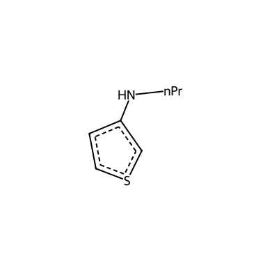 CCCNc1ccsc1